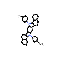 Cc1ccc(-n2c3cc4c5ccc6ccccc6c5n(-c5ccc(C)cc5)c4cc3c3ccc4ccccc4c32)cc1